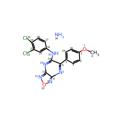 COc1ccc(-c2nc3nonc3nc2Nc2ccc(Cl)c(Cl)c2)cc1.N